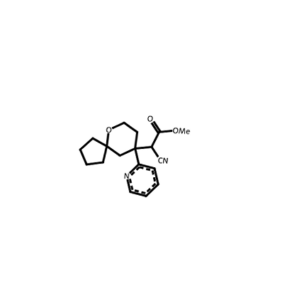 COC(=O)C(C#N)C1(c2ccccn2)CCOC2(CCCC2)C1